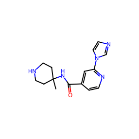 CC1(NC(=O)c2ccnc(-n3ccnc3)c2)CCNCC1